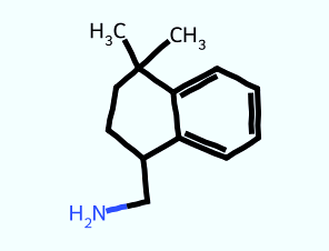 CC1(C)CCC(CN)c2ccccc21